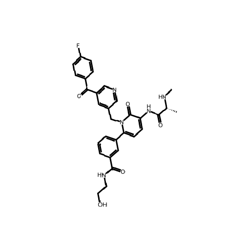 CN[C@H](C)C(=O)Nc1ccc(-c2cccc(C(=O)NCCO)c2)n(Cc2cncc(C(=O)c3ccc(F)cc3)c2)c1=O